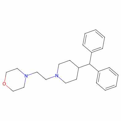 c1ccc(C(c2ccccc2)C2CCN(CCN3CCOCC3)CC2)cc1